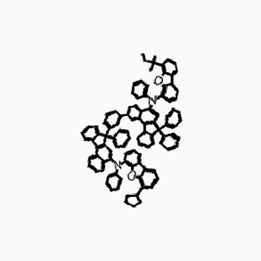 CCC(C)(C)c1cccc2c1oc1c(N(c3ccccc3)c3cc4c(c5cc(-c6cccc(C7(c8ccccc8)c8ccccc8-c8c7cc(N(c7ccccc7)c7cccc9c7oc7c(C%10CCCC%10)cccc79)c7ccccc87)c6)ccc35)-c3ccccc3C4(c3ccccc3)c3ccccc3)cccc12